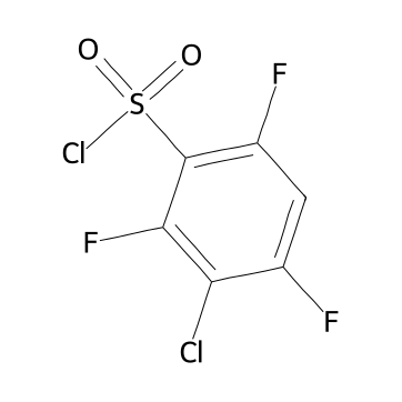 O=S(=O)(Cl)c1c(F)cc(F)c(Cl)c1F